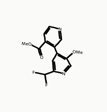 COC(=O)c1ccncc1-c1cc(C(F)F)ncc1OC